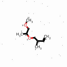 C=C[C](C)COC(C)COC